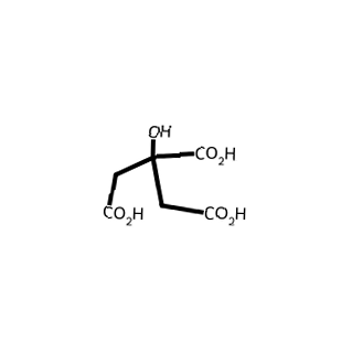 O=C(O)CC(O)(C[14C](=O)O)C(=O)O